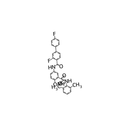 COc1ccc(NC(=O)c2ccc(-c3ccc(F)cc3)cc2F)cc1S(=O)(=O)Nc1c(C)cccc1C